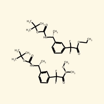 CCOC(=O)C(F)(F)c1cccc([C@@H](C)NC(=O)OC(C)(C)C)c1.CON(C)C(=O)C(F)(F)c1cccc([C@@H](C)NC(=O)OC(C)(C)C)c1